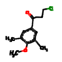 COc1c(C)cc(C(=O)CCCl)cc1C